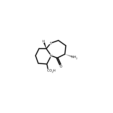 N[C@H]1CCS[C@H]2CCCC(C(=O)O)N2C1=O